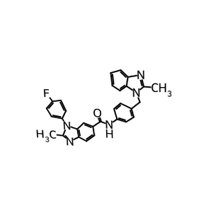 Cc1nc2ccccc2n1Cc1ccc(NC(=O)c2ccc3nc(C)n(-c4ccc(F)cc4)c3c2)cc1